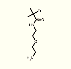 CCC(C)(C)C(=O)NCCOCCN